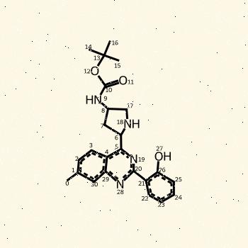 Cc1ccc2c(C3CC(NC(=O)OC(C)(C)C)CN3)nc(-c3ccccc3O)nc2c1